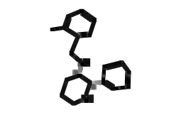 Cc1ccccc1CN[C@H]1CCCN[C@H]1c1ccccc1